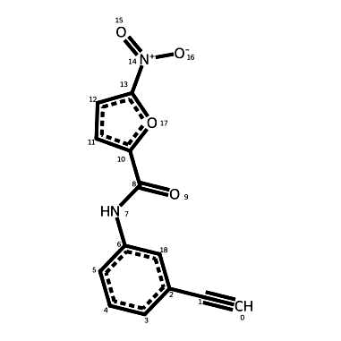 C#Cc1cccc(NC(=O)c2ccc([N+](=O)[O-])o2)c1